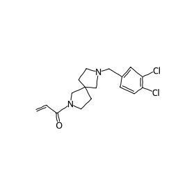 C=CC(=O)N1CCC2(CCN(Cc3ccc(Cl)c(Cl)c3)C2)C1